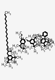 CCCCCCCCCCCCCCCCCCC(Cc1cc(C(C)(C)C)c(O)c(C(C)(C)C)c1)C(=O)O.CCOc1ccc2c(c1)C(C)CC(C)(C)N2.CCc1cc(C(C)(C)C)c(O)c(C(C)(C)C)c1.COc1ccccc1C1(OC)C=CC(O)C(C(C)(C)C)=C1C(C)(C)C